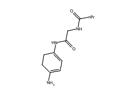 CCCC(=O)NCC(=O)NC1=CC=C(N)CC1